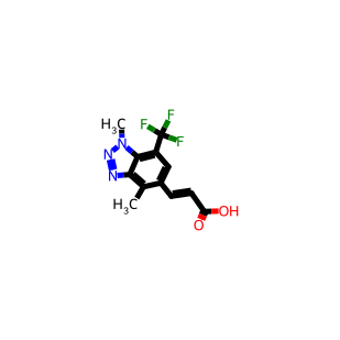 Cc1c(/C=C/C(=O)O)cc(C(F)(F)F)c2c1nnn2C